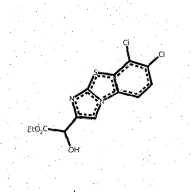 CCOC(=O)C(O)c1cn2c(n1)sc1c(Cl)c(Cl)ccc12